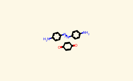 Nc1ccc(/N=N/c2ccc(N)cc2)cc1.O=C1C=CC(=O)C=C1